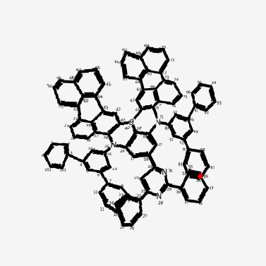 c1ccc(-c2cc(-c3ccccc3)cc(N3c4cc(-c5cc(-c6ccccc6)nc(-c6ccccc6)n5)cc5c4B(c4cc6c7cccc8cccc(c9cccc(c43)c96)c87)c3cc4c6cccc7cccc(c8cccc(c3N5c3cc(-c5ccccc5)cc(-c5ccccc5)c3)c84)c76)c2)cc1